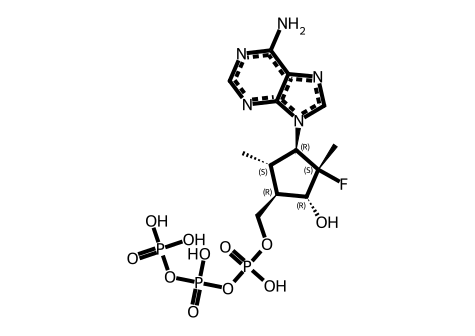 C[C@H]1[C@H](COP(=O)(O)OP(=O)(O)OP(=O)(O)O)[C@@H](O)[C@@](C)(F)[C@@H]1n1cnc2c(N)ncnc21